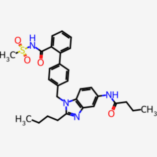 CCCCc1nc2cc(NC(=O)CCC)ccc2n1Cc1ccc(-c2ccccc2C(=O)NS(C)(=O)=O)cc1